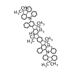 CC1(C)c2cc3c(cc2-c2cc4c(cc21)-c1c(cc(N(c2ccccc2)c2cccc5c2-c2ccccc2C5(C)C)c2ccccc12)C4(C)C)C(C)(C)c1cc(N(c2ccccc2)c2cccc4c2-c2ccccc2C4(C)C)c2ccccc2c1-3